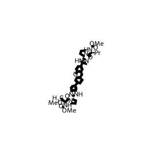 COC(=O)N[C@H](C(=O)N1CCC[C@H]1c1ncc(-c2ccc3c(c2)Cc2ccc(-c4ccc5nc([C@@H]6CCCN6C(=O)[C@@H](NC(=O)OC)[C@@H](C)OC)[nH]c5c4)cc2O3)[nH]1)C(C)C